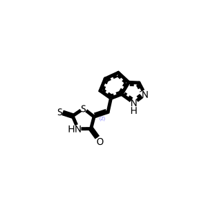 O=C1NC(=S)S/C1=C\c1cccc2cn[nH]c12